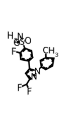 Cc1cccc(-n2nc(C(F)F)cc2-c2ccc(S(N)(=O)=O)c(F)c2)c1